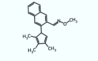 CON=Cc1cc2ccccc2cc1C1C=C(C)C(C)=C1C